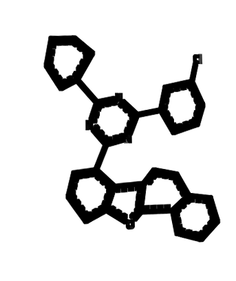 Clc1cccc(-c2nc(-c3ccccc3)nc(-c3cccc4oc5c6ccccc6ccc5c34)n2)c1